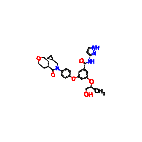 C[C@@H](CO)Oc1cc(Oc2ccc(N(CC3CC3)C(=O)C3CCOCC3)cc2)cc(C(=O)Nc2cc[nH]n2)c1